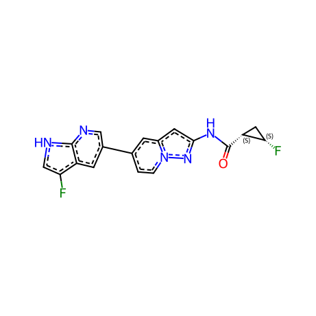 O=C(Nc1cc2cc(-c3cnc4[nH]cc(F)c4c3)ccn2n1)[C@@H]1C[C@@H]1F